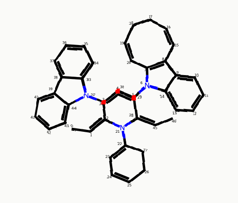 C/C=C(\C=C/Cn1c2c(c3ccccc31)/C=C\CC/C=C\2)N(C1=CC=CCC1)C(/C=C\Cn1c2ccccc2c2ccccc21)=C/C